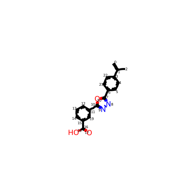 C=C(C)c1ccc(-c2nnc(-c3cccc(C(=O)O)c3)o2)cc1